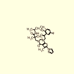 COc1ccc(F)cc1C(=O)CN1CN(CC(C)(C)C(=O)NC(C)C)C(=O)c2c1sc(-n1cccn1)c2C